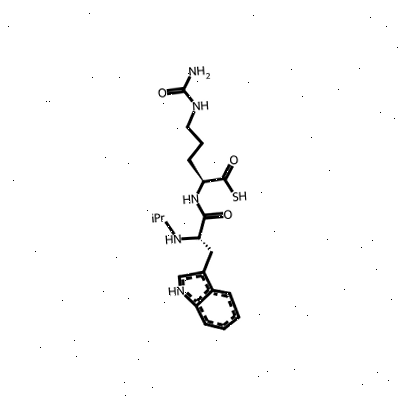 CC(C)N[C@@H](Cc1c[nH]c2ccccc12)C(=O)N[C@@H](CCCNC(N)=O)C(=O)S